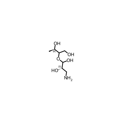 C[C@@H](O)C(CO)OC(O)[C@@H](O)CN